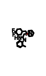 Cc1cccc2[nH]c(CN3CC4CC(C3)N4CCC3CCC(F)(F)CC3)nc12